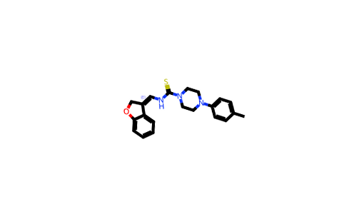 Cc1ccc(N2CCN(C(=S)N/C=C3/COc4ccccc43)CC2)cc1